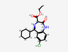 CCOC(=O)C1N=C(C2CCCCC2)c2cc(Cl)ccc2NC1=O